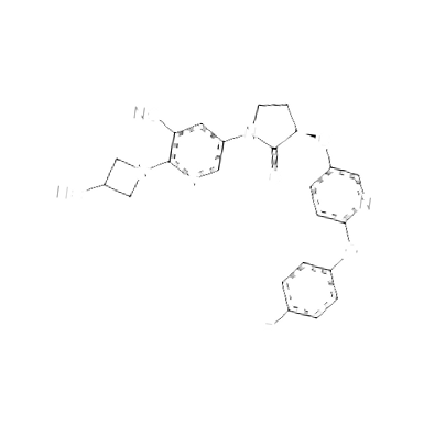 N#Cc1cc(N2CC[C@@H](Oc3ccc(Oc4ccc(F)cc4)nc3)C2=O)cnc1N1CC(O)C1